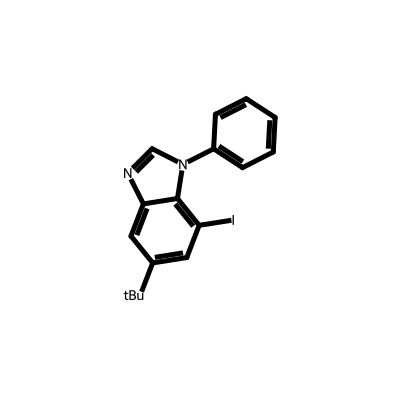 CC(C)(C)c1cc(I)c2c(c1)ncn2-c1ccccc1